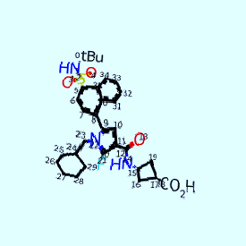 CC(C)(C)NS(=O)(=O)c1ccc(-c2cc(C(=O)N[C@H]3C[C@H](C(=O)O)C3)c(F)n2CC2CCCCC2)c2ccccc12